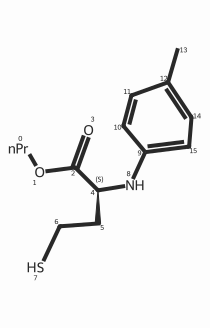 CCCOC(=O)[C@H](CCS)Nc1ccc(C)cc1